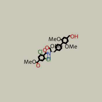 COC(=O)c1cc(Cl)c(C(=O)N[C@@H](Cc2ccc(-c3c(OC)cc(CO)cc3OC)cc2)C(=O)OC)c(Cl)c1